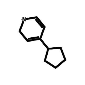 C1=CC(C2CCCC2)=CC[N]1